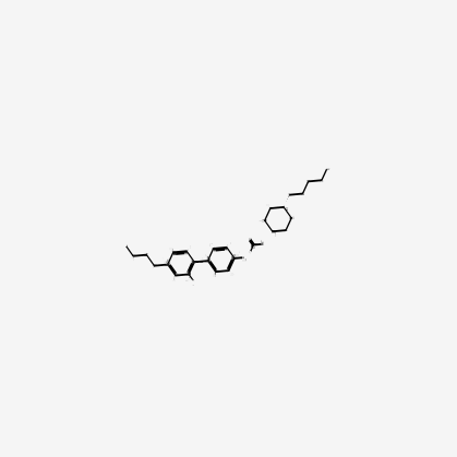 CCCCC[C@H]1CC[C@H](OC(=O)Oc2ccc(-c3ccc(CCCC)cc3F)cc2)CC1